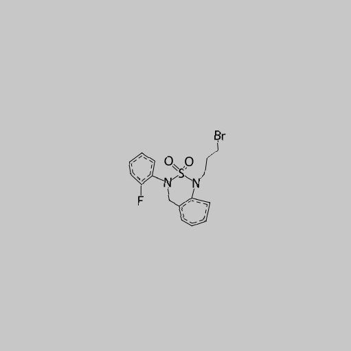 O=S1(=O)N(c2ccccc2F)Cc2ccccc2N1CCCBr